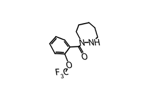 O=C(c1ccccc1OC(F)(F)F)N1CCCCCN1